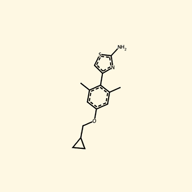 Cc1cc(OCC2CC2)cc(C)c1-c1csc(N)n1